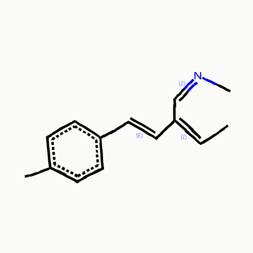 C/C=C(\C=N/C)/C=C/c1ccc(C)cc1